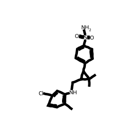 Cc1ccc(Cl)cc1NCC1C(c2ccc(S(N)(=O)=O)cc2)C1(C)C